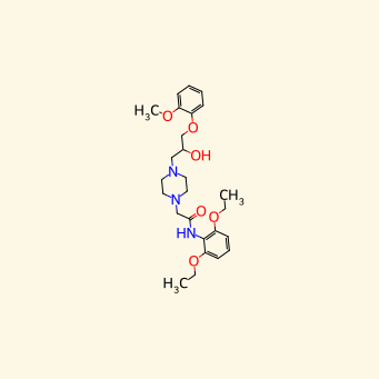 CCOc1cccc(OCC)c1NC(=O)CN1CCN(CC(O)COc2ccccc2OC)CC1